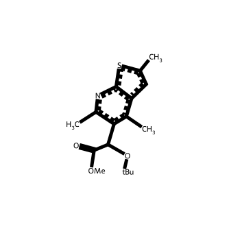 COC(=O)C(OC(C)(C)C)c1c(C)nc2sc(C)cc2c1C